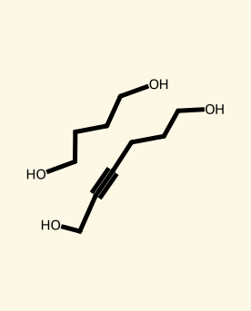 OCC#CCCCO.OCCCCO